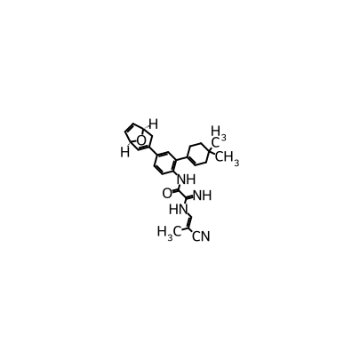 C/C(C#N)=C\NC(=N)C(=O)Nc1ccc(C2=C[C@H]3C=C[C@@H](C2)O3)cc1C1=CCC(C)(C)CC1